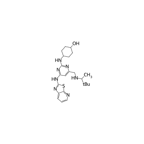 CC(NCc1cc(Nc2nc3cccnc3s2)nc(NC2CCC(O)CC2)n1)C(C)(C)C